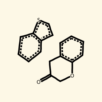 O=C1COc2ccccc2C1.c1ccc2sccc2c1